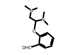 CN(C)CC(Oc1ccccc1C=O)N(C)C